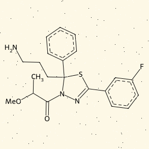 COC(C)C(=O)N1N=C(c2cccc(F)c2)SC1(CCCN)c1ccccc1